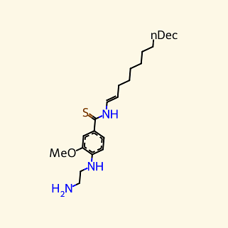 CCCCCCCCCCCCCCCCC=CNC(=S)c1ccc(NCCN)c(OC)c1